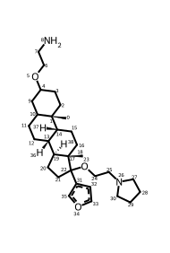 C[C@]12CCC(OCCN)CC1CC[C@@H]1[C@H]2CC[C@@]2(C)[C@H]1CCC2(OCCN1CCCC1)c1ccoc1